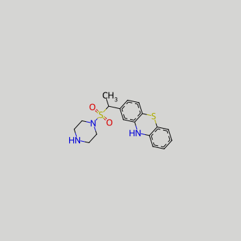 CC(c1ccc2c(c1)Nc1ccccc1S2)S(=O)(=O)N1CCNCC1